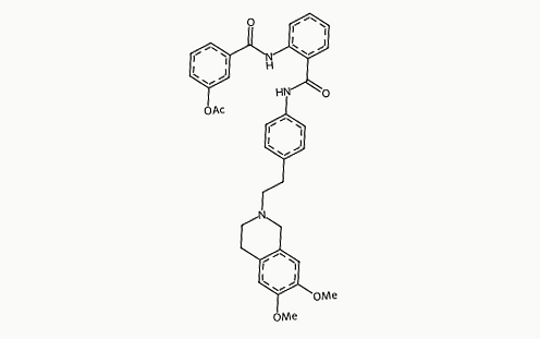 COc1cc2c(cc1OC)CN(CCc1ccc(NC(=O)c3ccccc3NC(=O)c3cccc(OC(C)=O)c3)cc1)CC2